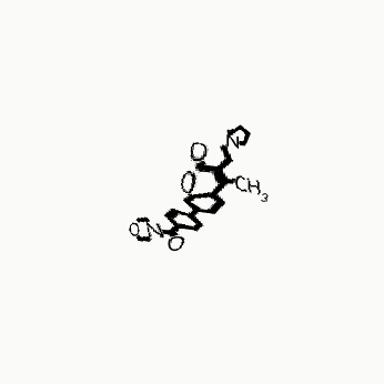 Cc1c(CCN2CCCC2)c(=O)oc2cc(-c3ccc(C(=O)N4CCOCC4)cc3)ccc12